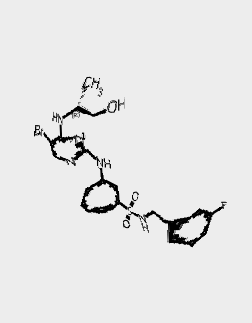 C[C@H](CO)Nc1nc(Nc2cccc(S(=O)(=O)NCc3cccc(F)c3)c2)ncc1Br